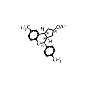 CC(=O)O[C@H]1C[C@@H]2[C@H](C1)c1cc(C)ccc1O[C@@H]2c1ccc(C)cc1